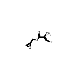 CC(=CS)C(=O)OCC1CO1